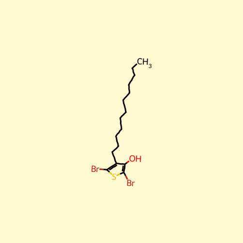 CCCCCCCCCCCCc1c(Br)sc(Br)c1O